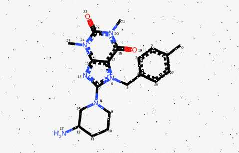 Cc1ccc(Cn2c(N3CCCC(N)C3)nc3c2c(=O)n(C)c(=O)n3C)cc1